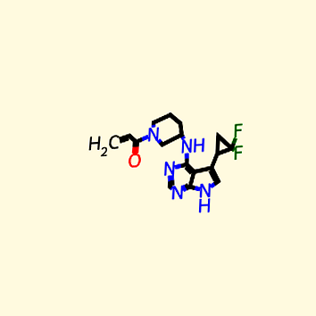 C=CC(=O)N1CCCC(Nc2ncnc3[nH]cc(C4CC4(F)F)c23)C1